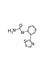 NC(=O)[N]c1ccccc1-c1nccs1